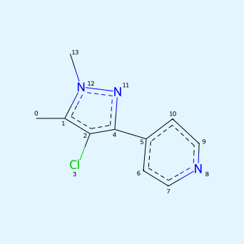 Cc1c(Cl)c(-c2ccncc2)nn1C